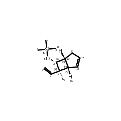 C=C[C@@]1(C)[C@H](O[Si](C)(C)C)[C@@H]2CC=C[C@@H]21